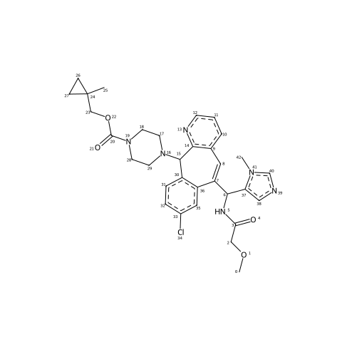 COCC(=O)NC(C1=Cc2cccnc2C(N2CCN(C(=O)OCC3(C)CC3)CC2)c2ccc(Cl)cc21)c1cncn1C